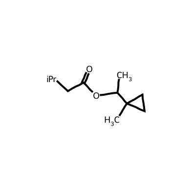 CC(C)CC(=O)OC(C)C1(C)CC1